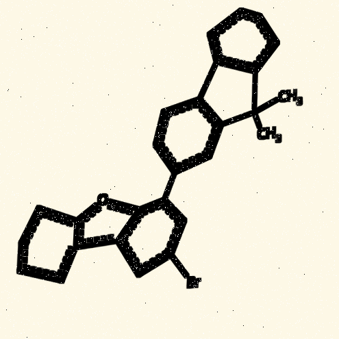 CC1(C)c2ccccc2-c2ccc(-c3cc(Br)cc4c3oc3ccccc34)cc21